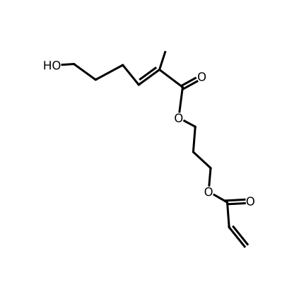 C=CC(=O)OCCCOC(=O)C(C)=CCCCO